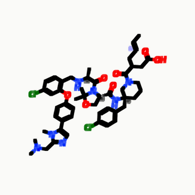 C/C=C/CC(CC(=O)O)C(=O)N1CCC[C@](Cc2ccc(Cl)cc2)(NC(=O)[C@@H]2COC(C)(C)N2C(=O)[C@H](C)NCc2ccc(Cl)cc2Oc2ccc(-c3cnc(CN(C)C)n3C)cc2)C1